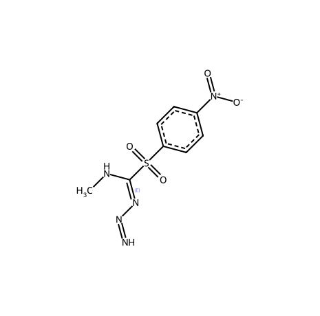 CN/C(=N\N=N)S(=O)(=O)c1ccc([N+](=O)[O-])cc1